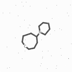 C1CCCC(N2CCCCC2)CCC1